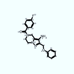 Nc1c(COc2ccccc2)nn2c1CN(C(=O)c1ccc(F)cc1)CC2